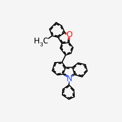 Cc1cccc2oc3ccc(-c4cccc5c4c4ccccc4n5-c4ccccc4)cc3c12